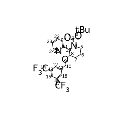 CC(C)(C)OC(=O)N1CCC[C@@H](OCc2cc(C(F)(F)F)cc(C(F)(F)F)c2)[C@H]1c1ccccn1